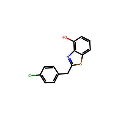 Oc1cccc2sc(Cc3ccc(Cl)cc3)nc12